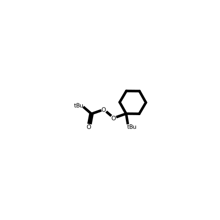 CC(C)(C)C(=O)OOC1(C(C)(C)C)CCCCC1